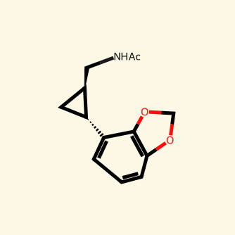 CC(=O)NC[C@@H]1C[C@H]1c1cccc2c1OCO2